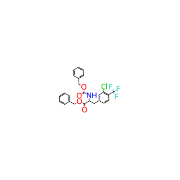 O=C(NC(Cc1ccc(C(F)(F)F)c(Cl)c1)C(=O)OCc1ccccc1)OCc1ccccc1